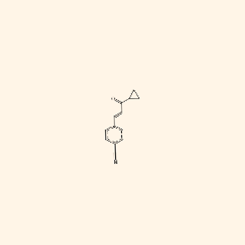 N#Cc1ccc(C=CC(=O)C2CC2)cc1